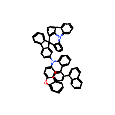 c1ccc(-c2cccc3ccccc23)c(-c2ccccc2N(c2ccc3c(c2)C2(c4ccccc4-3)c3ccccc3-n3c4ccccc4c4cccc2c43)c2ccc3oc4ccccc4c3c2)c1